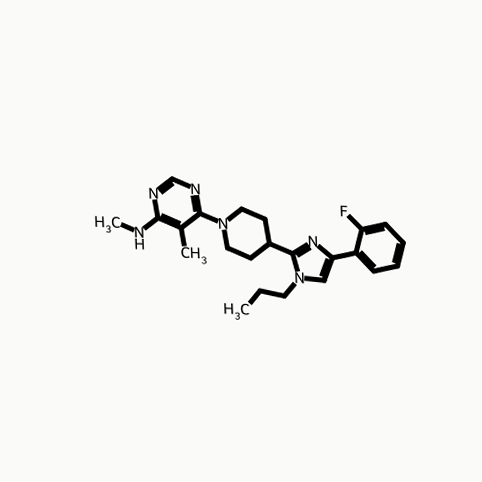 CCCn1cc(-c2ccccc2F)nc1C1CCN(c2ncnc(NC)c2C)CC1